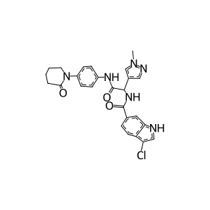 Cn1cc(C(NC(=O)c2ccc3c(Cl)c[nH]c3c2)C(=O)Nc2ccc(N3CCCCC3=O)cc2)cn1